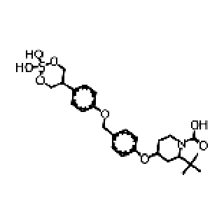 CC(C)(C)C1CC(Oc2ccc(COc3ccc(C4COS(O)(O)OC4)cc3)cc2)CCN1C(=O)O